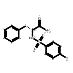 NC(=O)[C@@H](Cc1ccccc1)NS(=O)(=O)c1ccc(Cl)cc1